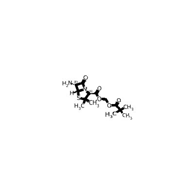 CC(C)(C)C(=O)OCOC(=O)[C@@H]1N2C(=O)[C@@H](N)[C@H]2SC1(C)C